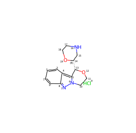 Cl.c1ccc2c3n(nc2c1)CCOC3[C@H]1CNCCO1